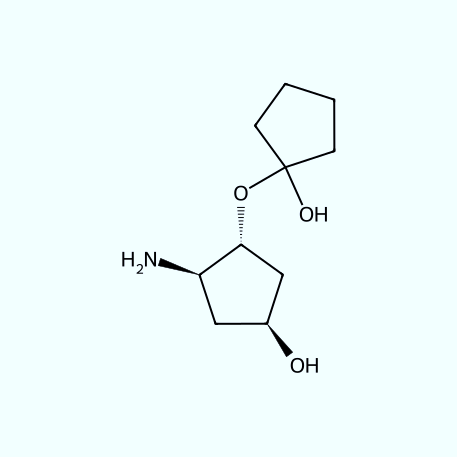 N[C@@H]1C[C@H](O)C[C@H]1OC1(O)CCCC1